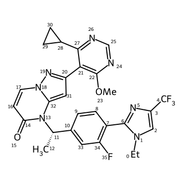 CCn1cc(C(F)(F)F)nc1-c1ccc([C@H](C)n2c(=O)ccn3nc(-c4c(OC)ncnc4C4CC4)cc23)cc1F